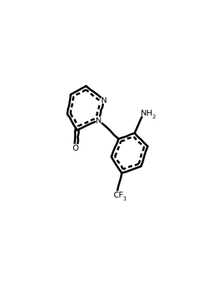 Nc1ccc(C(F)(F)F)cc1-n1ncccc1=O